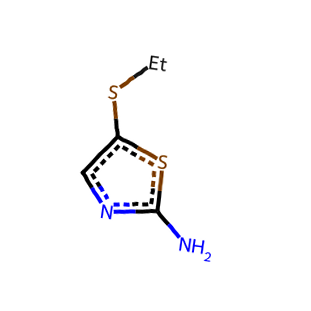 CCSc1cnc(N)s1